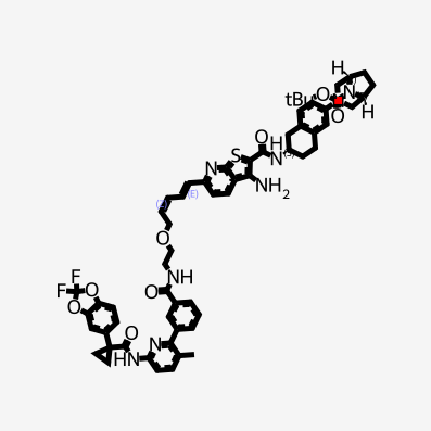 Cc1ccc(NC(=O)C2(c3ccc4c(c3)OC(F)(F)O4)CC2)nc1-c1cccc(C(=O)NCCOC/C=C\C=C\c2ccc3c(N)c(C(=O)N[C@H]4CCc5cc(N6C[C@H]7CC[C@@H](C6)N7C(=O)OC(C)(C)C)ccc5C4)sc3n2)c1